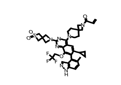 C=CC(=O)N1CC2(CCN(c3nc(N4CC5(C4)CS(=O)(=O)C5)nc4c(OCC(F)(F)F)c(-c5c(C)ccc6[nH]ncc56)c(C5CC5)cc34)CC2)C1